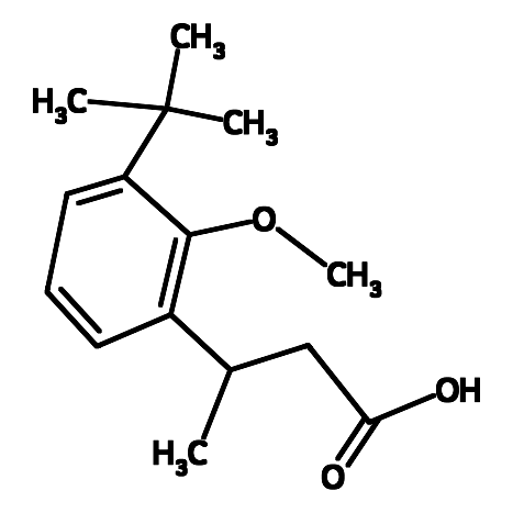 COc1c(C(C)CC(=O)O)cccc1C(C)(C)C